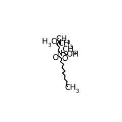 CCCCCCCCCCCC(=O)N(CCC[N+](C)(C)C)C(C)C(=O)O